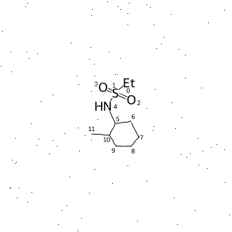 CCS(=O)(=O)NC1CCCCC1C